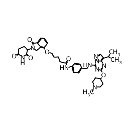 CC(C)c1cnn2c(NCc3ccc(NC(=O)CCCCOc4cccc5c4CN(C4CCC(=O)NC4=O)C5=O)cc3)nc(OC3CCN(C)CC3)nc12